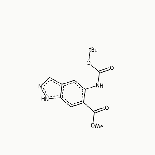 COC(=O)c1cc2[nH]ncc2cc1NC(=O)OC(C)(C)C